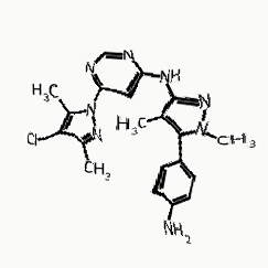 Cc1nn(-c2cc(Nc3nn(C)c(-c4ccc(N)cc4)c3C)ncn2)c(C)c1Cl